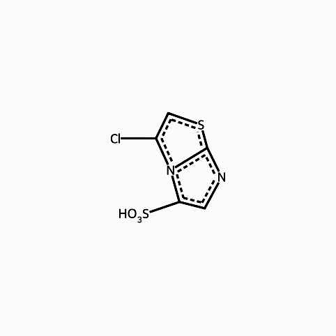 O=S(=O)(O)c1cnc2scc(Cl)n12